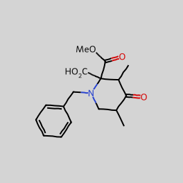 COC(=O)C1(C(=O)O)C(C)C(=O)C(C)CN1Cc1ccccc1